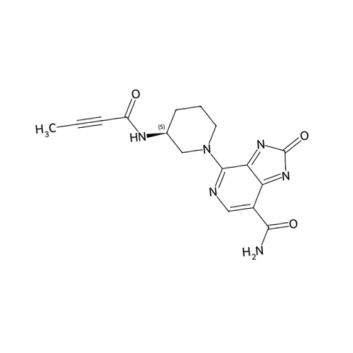 CC#CC(=O)N[C@H]1CCCN(c2ncc(C(N)=O)c3c2=NC(=O)N=3)C1